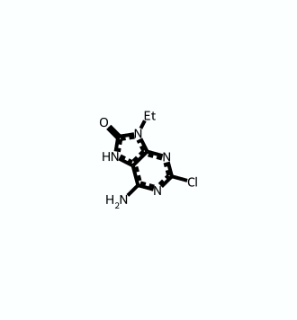 CCn1c(=O)[nH]c2c(N)nc(Cl)nc21